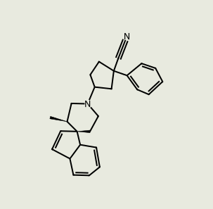 C[C@H]1CN(C2CCC(C#N)(c3ccccc3)C2)CC[C@@]12C=CC1C=CC=CC12